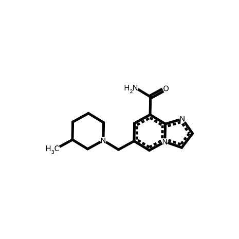 CC1CCCN(Cc2cc(C(N)=O)c3nccn3c2)C1